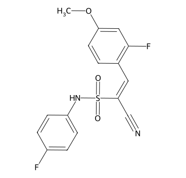 COc1ccc(C=C(C#N)S(=O)(=O)Nc2ccc(F)cc2)c(F)c1